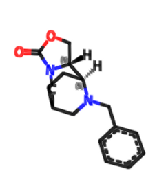 O=C1OC[C@@H]2[C@@H]3CCC(CN3Cc3ccccc3)CN12